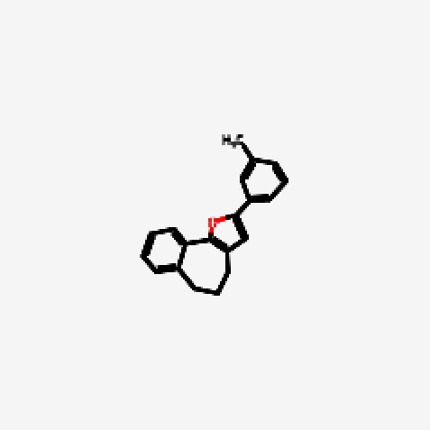 Cc1cccc(-c2cc3c(o2)-c2ccccc2CCC3)c1